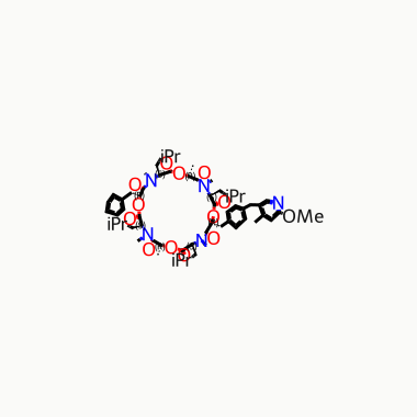 COc1cc(C)c(Cc2ccc(C[C@H]3OC(=O)[C@H](CC(C)C)N(C)C(=O)[C@@H](C)OC(=O)[C@H](CC(C)C)N(C)C(=O)[C@@H](Cc4ccccc4)OC(=O)[C@H](CC(C)C)N(C)C(=O)[C@@H](C)OC(=O)[C@H](CC(C)C)N(C)C3=O)cc2)cn1